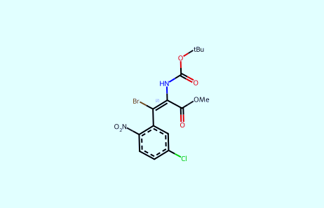 COC(=O)/C(NC(=O)OC(C)(C)C)=C(/Br)c1cc(Cl)ccc1[N+](=O)[O-]